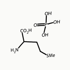 CSCCC(N)C(=O)O.O=P(O)(O)O